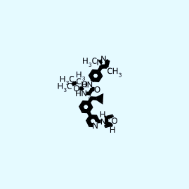 Cc1cnn(C)c1-c1ccc(NC(=O)C(NC(=O)OC(C)(C)C)[C@@H](c2cccc(-c3ccnc(N4C[C@@H]5C[C@H]4CO5)c3)c2)C2CC2)cc1